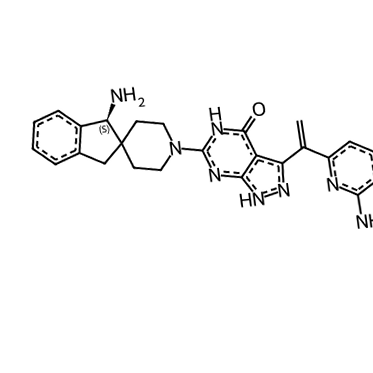 C=C(c1ccnc(N)n1)c1n[nH]c2nc(N3CCC4(CC3)Cc3ccccc3[C@H]4N)[nH]c(=O)c12